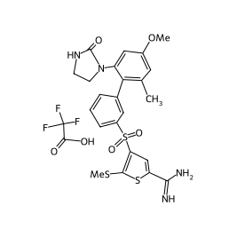 COc1cc(C)c(-c2cccc(S(=O)(=O)c3cc(C(=N)N)sc3SC)c2)c(N2CCNC2=O)c1.O=C(O)C(F)(F)F